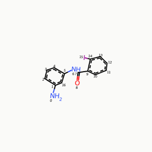 Nc1cccc(NC(=O)c2ccccc2I)c1